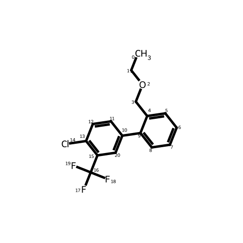 C[CH]OCc1ccccc1-c1ccc(Cl)c(C(F)(F)F)c1